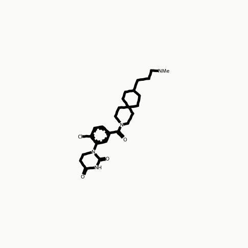 CNCCCC1CCC2(CC1)CCN(C(=O)c1ccc(Cl)c(N3CCC(=O)NC3=O)c1)CC2